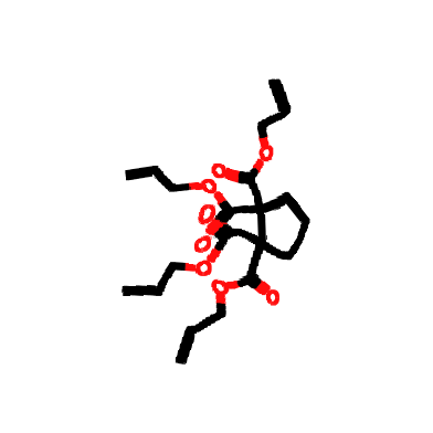 C=CCOC(=O)C1(C(=O)OCC=C)CCCC1(C(=O)OCC=C)C(=O)OCC=C